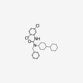 O=C(Nc1cc(Cl)ccc1Cl)N(Cc1ccccc1)C1CCC(C2CCCCC2)CC1